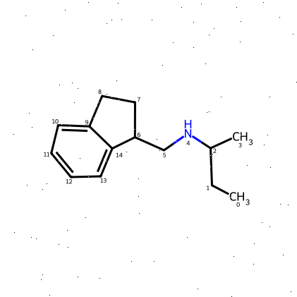 CCC(C)NCC1CCc2ccccc21